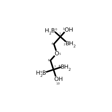 BC(B)(O)COCC(B)(B)O